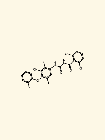 Cc1ccccc1Oc1c(C)cc(NC(=O)NC(=O)c2c(Cl)cccc2Cl)c(C)c1Cl